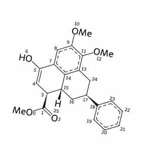 COC(=O)[C@H]1C=C(O)c2cc(OC)c(OC)c3c2[C@@H]1C[C@H](c1ccccc1)C3